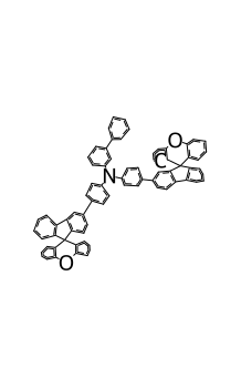 c1ccc(-c2cccc(N(c3ccc(-c4ccc5c(c4)-c4ccccc4C54c5ccccc5Oc5ccccc54)cc3)c3ccc(-c4ccc5c(c4)C4(c6ccccc6Oc6ccccc64)c4ccccc4-5)cc3)c2)cc1